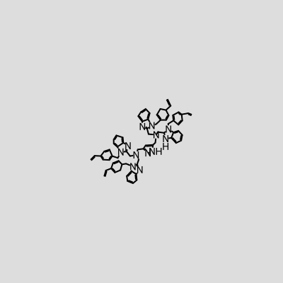 C=CC1=CCC(Cn2c(CN(Cc3cc(CN(Cc4nc5ccccc5n4CC4=CCC(C=C)C=C4)CC4Nc5ccccc5N4Cc4ccc(C=C)cc4)[nH]n3)Cc3nc4ccccc4n3Cc3ccc(C=C)cc3)nc3ccccc32)C=C1